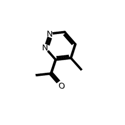 CC(=O)c1nnccc1C